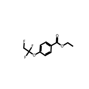 CCOC(=O)c1ccc(OC(F)(F)CF)cc1